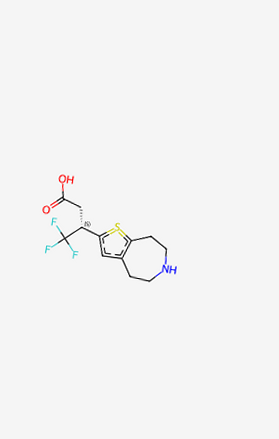 O=C(O)C[C@H](c1cc2c(s1)CCNCC2)C(F)(F)F